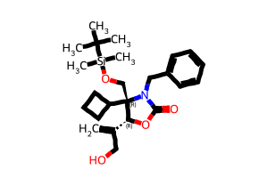 C=C(CO)[C@H]1OC(=O)N(Cc2ccccc2)[C@@]1(CO[Si](C)(C)C(C)(C)C)C1CCC1